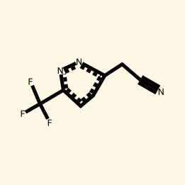 N#CCc1ccc(C(F)(F)F)nn1